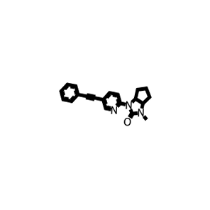 CN1C(=O)N(c2ccc(C#Cc3ccccc3)cn2)C2CCCC21